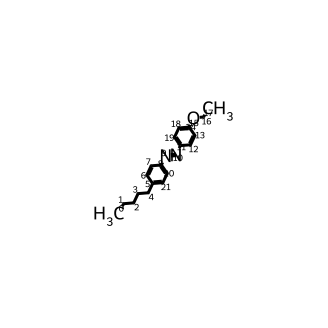 CCCCCc1ccc(N=Nc2ccc(OCC)cc2)cc1